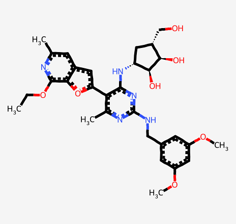 CCOc1nc(C)cc2cc(-c3c(C)nc(NCc4cc(OC)cc(OC)c4)nc3N[C@@H]3C[C@H](CO)[C@@H](O)[C@H]3O)oc12